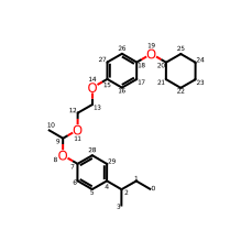 CCC(C)c1ccc(OC(C)OCCOc2ccc(OC3CCCCC3)cc2)cc1